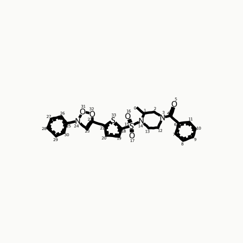 CC1CN(C(=O)c2ccccc2)CCN1S(=O)(=O)c1ccc(C2=CN(c3ccccc3)OO2)s1